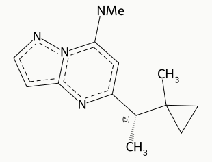 CNc1cc([C@@H](C)C2(C)CC2)nc2ccnn12